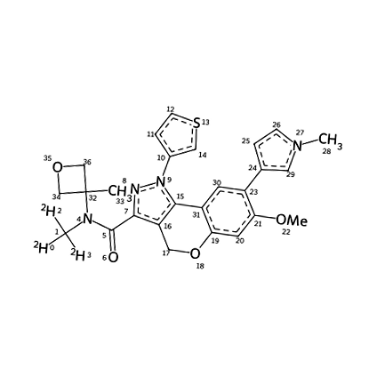 [2H]C([2H])([2H])N(C(=O)c1nn(-c2ccsc2)c2c1COc1cc(OC)c(-c3ccn(C)c3)cc1-2)C1(C)COC1